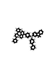 CC1(C)c2ccccc2-c2ccc(N(c3ccc(-c4ccccc4)cc3)c3ccc(-c4cc5oc6cccc(-c7ccc(-c8ccccc8)nc7)c6c5c5ccccc45)cc3)cc21